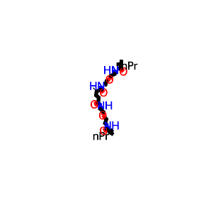 CCCC(C)(C)C(=O)NCCOCCNC(=O)CC[C@H](C)C(=O)NCCOCCNC(=O)C(C)(C)CCC